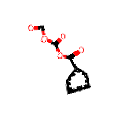 O=COC(=O)OC(=O)c1ccccc1